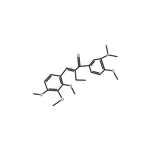 CC/C(=C\c1ccc(OC)c(OC)c1OC)C(=O)c1ccc(OC)c(N(C)C)c1